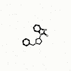 O=c1[nH]c2ccccc2n1C1CCN(Cc2ccccc2)C1